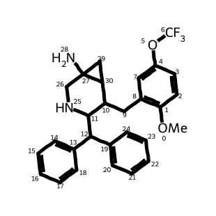 COc1ccc(OC(F)(F)F)cc1CC1C(C(c2ccccc2)c2ccccc2)NCC2(N)CC12